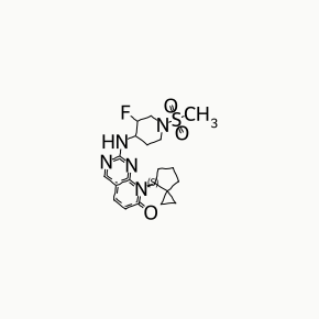 CS(=O)(=O)N1CCC(Nc2ncc3ccc(=O)n([C@H]4CCCC45CC5)c3n2)C(F)C1